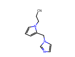 N#CCCn1cccc1Cn1ccnc1